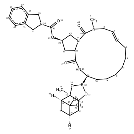 CN1C/C=C/CCCCCC[C@@H](B2OC3C[C@H]4C[C@H](C4(C)C)[C@@]3(C)O2)NC(=O)C2C[C@@H](OC(=O)N3Cc4ccccc4C3)CN2C1=O